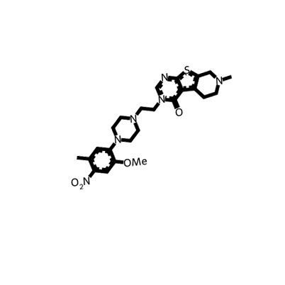 COc1cc([N+](=O)[O-])c(C)cc1N1CCN(CCn2cnc3sc4c(c3c2=O)CCN(C)C4)CC1